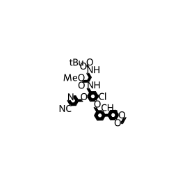 COC(=O)C(CCNC(=O)OC(C)(C)C)NCc1cc(Cl)c(OCc2cccc(-c3ccc4c(c3)OCCO4)c2C)cc1OCc1cncc(C#N)c1